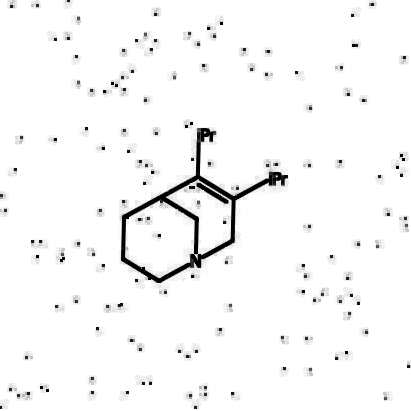 CC(C)C1=C(C(C)C)C2CCCN(C1)C2